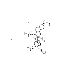 CC1CCC2C(CCC3C2CCC2(C)C(C(=O)CN(C)C(=O)CSC=O)CC(C)C32)C1